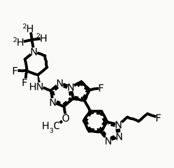 [2H]C([2H])([2H])N1CC[C@@H](Nc2nc(OC)c3c(-c4ccc5nnn(CCCF)c5c4)c(F)cn3n2)C(F)(F)C1